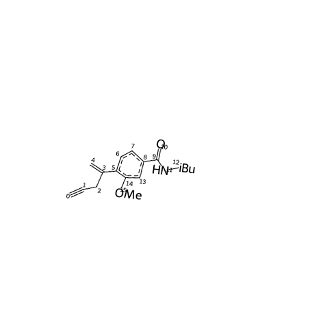 C#CCC(=C)c1ccc(C(=O)NC(C)CC)cc1OC